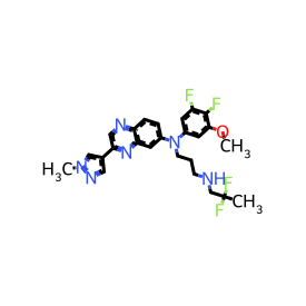 COc1cc(N(CCCNCC(C)(F)F)c2ccc3ncc(-c4cnn(C)c4)nc3c2)cc(F)c1F